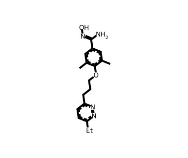 CCc1ccc(CCCOc2c(C)cc(C(N)=NO)cc2C)nn1